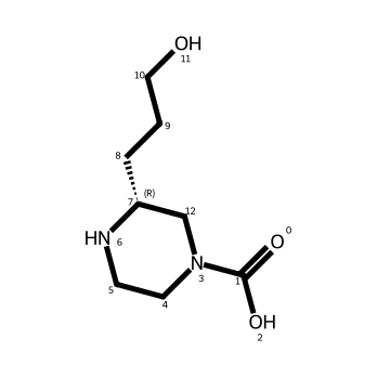 O=C(O)N1CCN[C@H](CCCO)C1